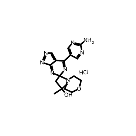 CC(C)(O)CC1(N2CCOCC2)N=C2N=NC=C2C(c2cnc(N)nc2)=N1.Cl